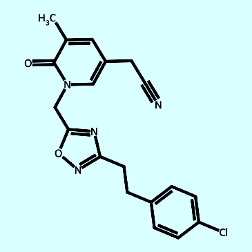 Cc1cc(CC#N)cn(Cc2nc(CCc3ccc(Cl)cc3)no2)c1=O